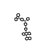 c1ccc(N(c2ccc(-c3ccc(-c4c5ccccc5c(-c5cccc6ccccc56)c5ccccc45)cc3)cc2)c2ccc(-n3c4ccccc4c4ccccc43)cc2)cc1